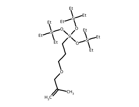 C=C(C)COCCC[Si](O[Si](CC)(CC)CC)(O[Si](CC)(CC)CC)O[Si](CC)(CC)CC